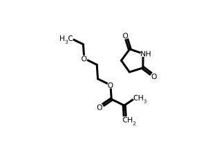 C=C(C)C(=O)OCCOCC.O=C1CCC(=O)N1